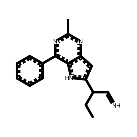 CCC(C=N)c1cc2nc(C)nc(-c3ccccc3)c2[nH]1